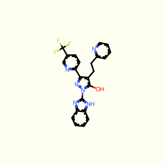 Oc1c(CCc2ccccn2)c(-c2ccc(C(F)(F)F)cn2)nn1-c1nc2ccccc2[nH]1